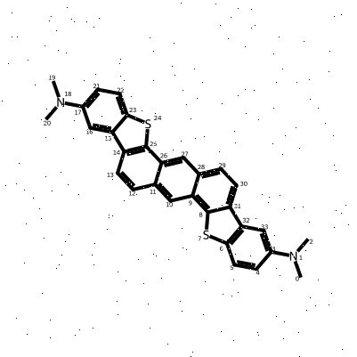 CN(C)c1ccc2sc3c4cc5ccc6c7cc(N(C)C)ccc7sc6c5cc4ccc3c2c1